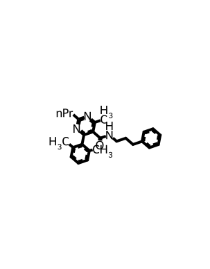 CCCc1nc(C)c(C(=O)NCCCc2ccccc2)c(-c2c(C)cccc2C)n1